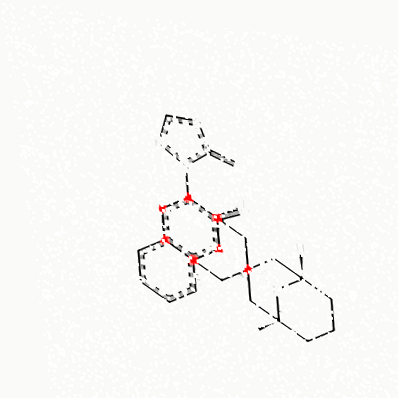 O=c1[nH]cnn1-c1nc2ccccc2n([C@H]2C[C@H]3CCC[C@@H](C2)N3[C@H]2C[C@@H]3CCC[C@@H](C3)C2)c1=O